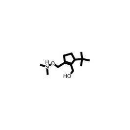 C[SiH](C)OCC1=C(CO)C(C(C)(C)C)CC1